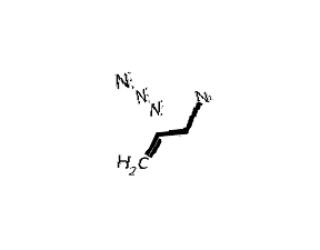 C=CC[N].[N].[N].[N]